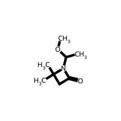 COC(C)N1C(=O)CC1(C)C